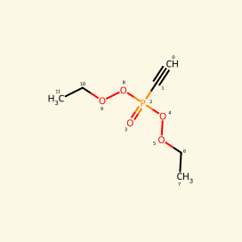 C#CP(=O)(OOCC)OOCC